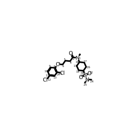 CN(C(=O)CCCOc1ccc(Cl)cc1Cl)C1CCC(S(=O)(=O)N(C)C)CC1